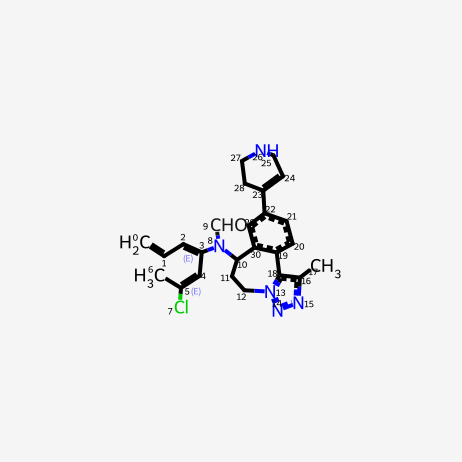 C=C/C=C(\C=C(/C)Cl)N(C=O)C1CCn2nnc(C)c2-c2ccc(C3=CCNCC3)cc21